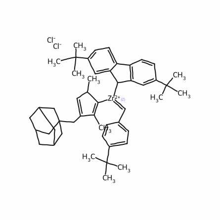 CC1=[C](/[Zr+2](=[CH]\c2ccc(C(C)(C)C)cc2)[CH]2c3cc(C(C)(C)C)ccc3-c3ccc(C(C)(C)C)cc32)C(C)C=C1CC12CC3CC(CC(C3)C1)C2.[Cl-].[Cl-]